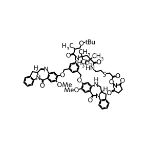 COc1cc2c(cc1OCc1cc(COc3cc4c(cc3OC)C(=O)N3c5ccccc5C[C@H]3CN4)cc(N(C(=O)C(C)COC(C)(C)C)C(C)(C)CC(C)(C)C(=O)NCCSCC(=O)ON3C(=O)CCC3=O)c1)N=C[C@@H]1Cc3ccccc3N1C2=O